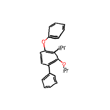 CC(C)Oc1c(-c2ccccc2)ccc(Oc2ccccc2)c1C(C)C